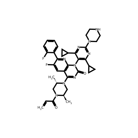 C=CC(=O)N1C[C@H](C)N(c2nc(=O)n(-c3c(C4CC4)nc(N4CCNCC4)nc3C3CC3)c3nc(-c4ccccc4F)c(F)cc23)C[C@H]1C